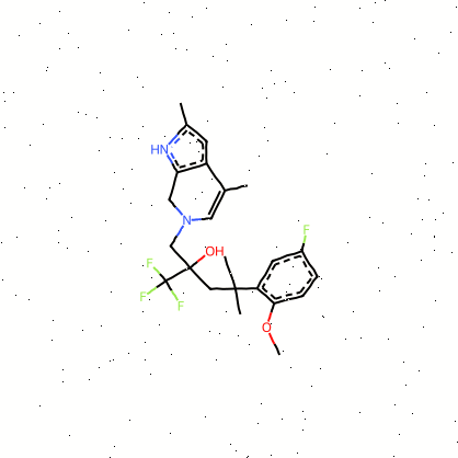 COc1ccc(F)cc1C(C)(C)CC(O)(CN1C=C(C)c2cc(C)[nH]c2C1)C(F)(F)F